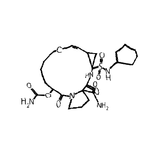 NC(=O)OC1CCCCCC=CC2CC2(S(=O)(=O)NC2CCCCC2)NC(=O)C2(C(N)=O)CCCN2C1=O